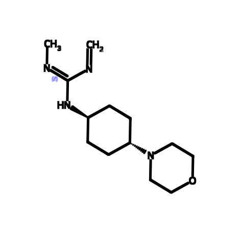 C=N/C(=N\C)N[C@H]1CC[C@H](N2CCOCC2)CC1